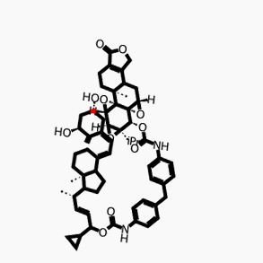 C=C1/C(=C\C=C2/CCC[C@@]3(C)C2CCC3[C@@H](C)/C=C/C(OC(=O)Nc2ccc(Cc3ccc(NC(=O)O[C@@H]4[C@@]5(C(C)C)O[C@H]5[C@@H]5O[C@]56[C@]45O[C@H]5CC4C5=C(CC[C@@]46C)C(=O)OC5)cc3)cc2)C2CC2)C[C@@H](O)C[C@@H]1O